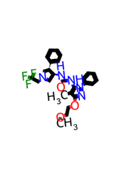 COCCOc1nn(-c2ccccc2)c(NC(=O)N[C@H]2CN(CC(F)(F)F)C[C@@H]2c2ccccc2)c1C